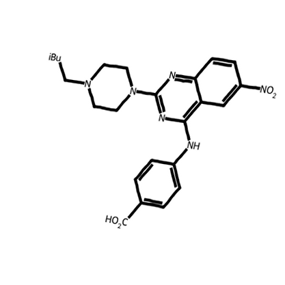 CCC(C)CN1CCN(c2nc(Nc3ccc(C(=O)O)cc3)c3cc([N+](=O)[O-])ccc3n2)CC1